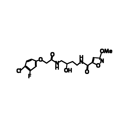 COc1cc(C(=O)NCCC(O)CNC(=O)COc2ccc(Cl)c(F)c2)on1